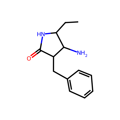 CCC1NC(=O)C(Cc2ccccc2)C1N